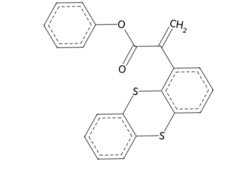 C=C(C(=O)Oc1ccccc1)c1cccc2c1Sc1ccccc1S2